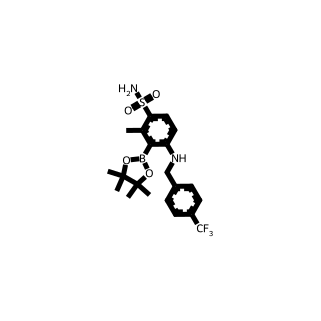 Cc1c(S(N)(=O)=O)ccc(NCc2ccc(C(F)(F)F)cc2)c1B1OC(C)(C)C(C)(C)O1